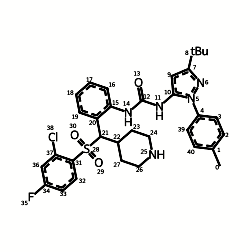 Cc1ccc(-n2nc(C(C)(C)C)cc2NC(=O)Nc2ccccc2C(C2CCNCC2)S(=O)(=O)c2ccc(F)cc2Cl)cc1